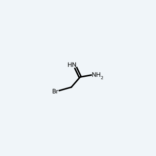 N=C(N)CBr